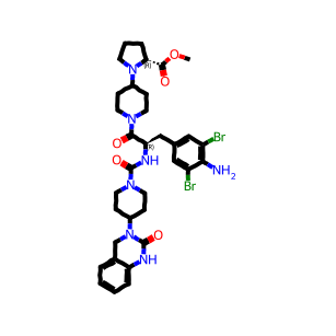 COC(=O)[C@H]1CCCN1C1CCN(C(=O)[C@@H](Cc2cc(Br)c(N)c(Br)c2)NC(=O)N2CCC(N3Cc4ccccc4NC3=O)CC2)CC1